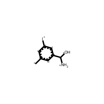 Cc1cc(I)cc(C(N)O)c1